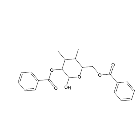 CC1C(COC(=O)c2ccccc2)OC(O)C(OC(=O)c2ccccc2)C1C